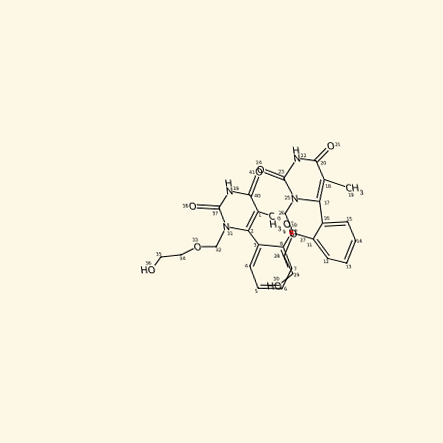 Cc1c(-c2ccccc2[S+]([O-])c2ccccc2-c2c(C)c(=O)[nH]c(=O)n2COCCO)n(COCCO)c(=O)[nH]c1=O